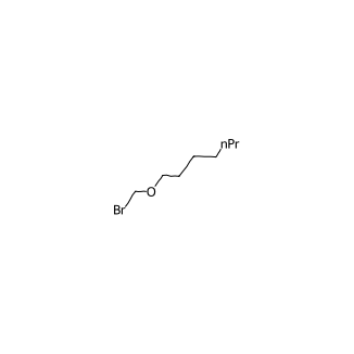 CCCCCCCOCBr